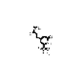 CS(=O)(=O)c1cc(CCC(N)=O)cc(=O)[nH]1